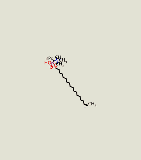 C/C=C\CCCCCCCCCCCCCCCCOP(=O)(O)C(CCC)[N+](C)(C)C